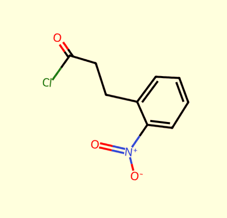 O=C(Cl)CCc1ccccc1[N+](=O)[O-]